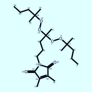 CCCC(C)(C)OOC(C)(CCCN1C(=O)C(C)=C(C)C1=O)OOC(C)(C)CCC